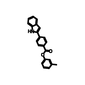 Cc1cccc(OC(=O)c2ccc(-c3cc4ccccc4[nH]3)cc2)c1